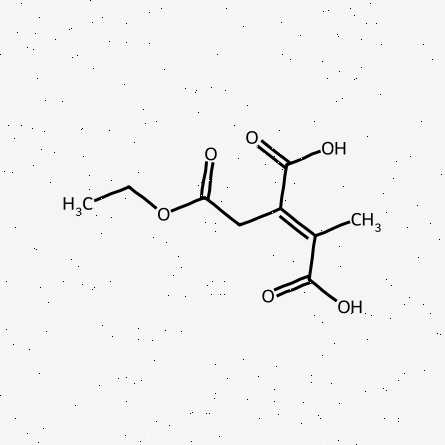 CCOC(=O)CC(C(=O)O)=C(C)C(=O)O